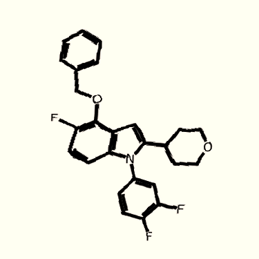 Fc1ccc(-n2c(C3CCOCC3)cc3c(OCc4ccccc4)c(F)ccc32)cc1F